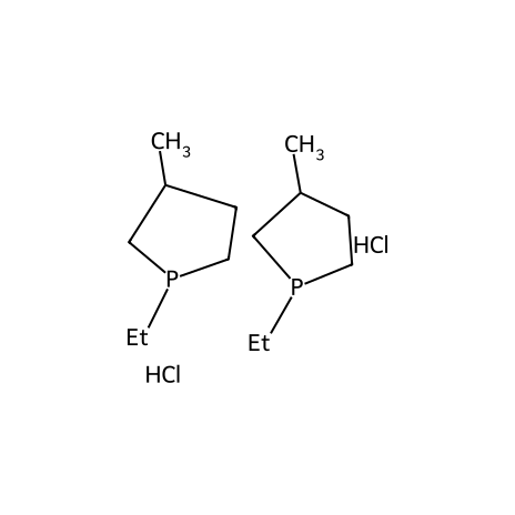 CCP1CCC(C)C1.CCP1CCC(C)C1.Cl.Cl